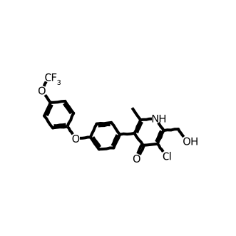 Cc1[nH]c(CO)c(Cl)c(=O)c1-c1ccc(Oc2ccc(OC(F)(F)F)cc2)cc1